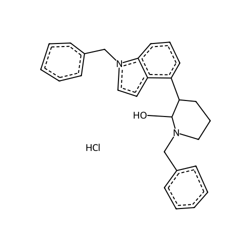 Cl.OC1C(c2cccc3c2ccn3Cc2ccccc2)CCCN1Cc1ccccc1